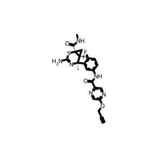 C#CCOc1cnc(C(=O)Nc2ccc(F)c([C@@]3(C)N=C(N)S[C@@]4(C(=O)NC)C[C@H]43)c2)cn1